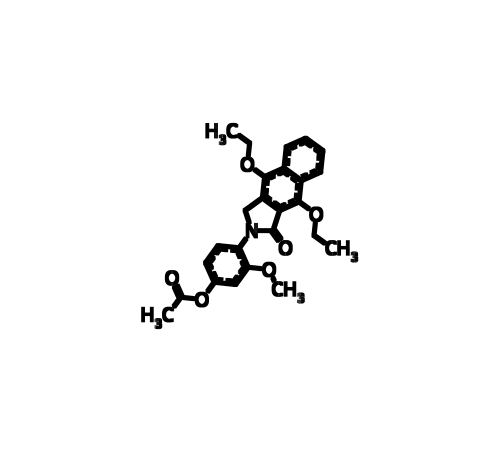 CCOc1c2c(c(OCC)c3ccccc13)C(=O)N(c1ccc(OC(C)=O)cc1OC)C2